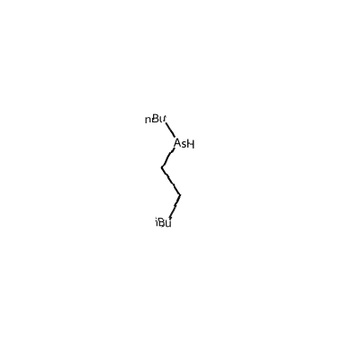 CCCC[AsH]CCC(C)CC